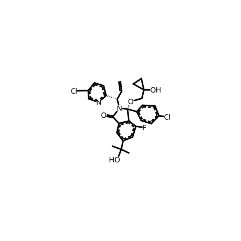 C=C[C@@H](c1ccc(Cl)cn1)N1C(=O)c2cc(C(C)(C)O)cc(F)c2[C@]1(OCC1(O)CC1)c1ccc(Cl)cc1